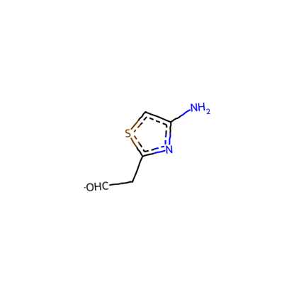 Nc1csc(C[C]=O)n1